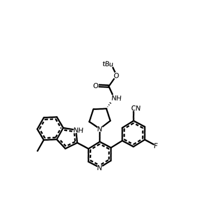 Cc1cccc2[nH]c(-c3cncc(-c4cc(F)cc(C#N)c4)c3N3CC[C@H](NC(=O)OC(C)(C)C)C3)cc12